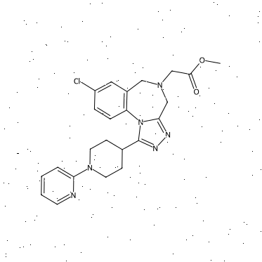 COC(=O)CN1Cc2cc(Cl)ccc2-n2c(nnc2C2CCN(c3ccccn3)CC2)C1